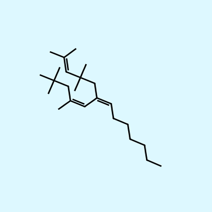 CCCCCCC=C(C=C(C)CC(C)(C)C)CC(C)(C)C=C(C)C